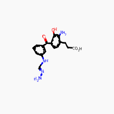 NN=CNc1cccc(C(=O)c2ccc(CCC(=O)O)c(N)c2O)c1